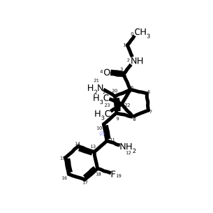 CCNC(=O)C12CCC(C(/C=C(\N)c3ccccc3F)=C1N)C2(C)C